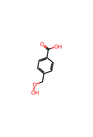 O=C(O)c1ccc(COO)cc1